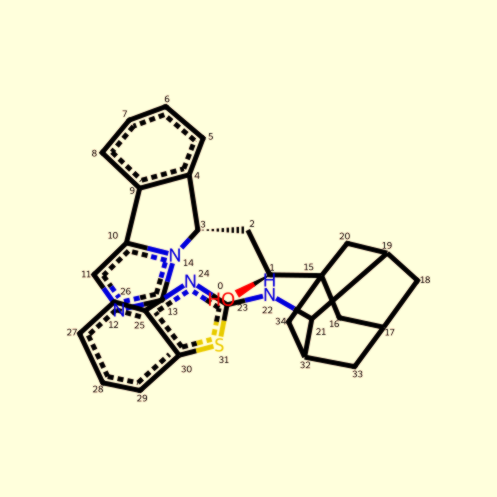 O[C@@H](C[C@H]1c2ccccc2-c2cncn21)C12CC3CC(C1)C(Nc1nc4ccccc4s1)C(C3)C2